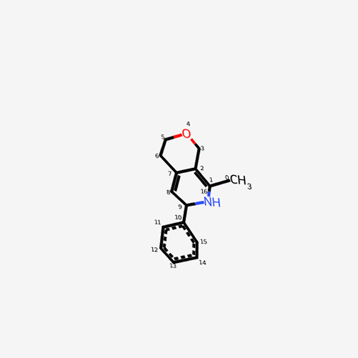 CC1=C2COCCC2=CC(c2ccccc2)N1